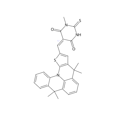 CN1C(=O)/C(=C/c2cc3c(s2)N2c4ccccc4C(C)(C)c4cccc(c42)C3(C)C)C(=O)NC1=S